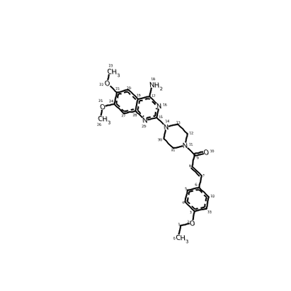 CCOc1ccc(C=CC(=O)N2CCN(c3nc(N)c4cc(OC)c(OC)cc4n3)CC2)cc1